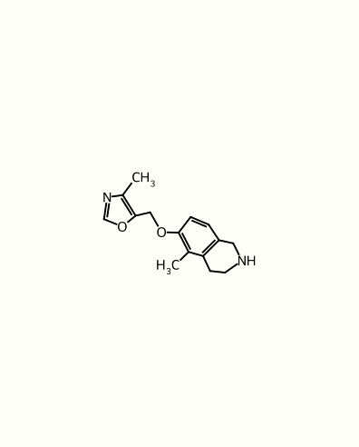 Cc1ncoc1COc1ccc2c(c1C)CCNC2